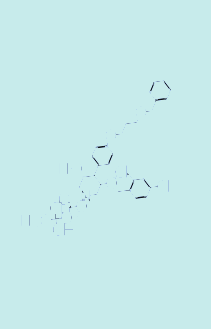 CC(C)(C)OC(=O)ON1CC(O)C(c2ccc(OCCCOCc3ccccc3)cc2)C(OCc2ccc(Cl)cc2Cl)C1